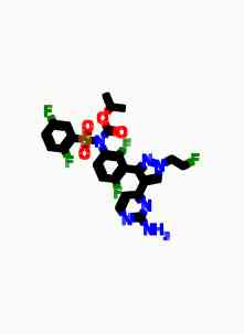 CC(C)OC(=O)N(c1ccc(F)c(-c2nn(CCF)cc2-c2ccnc(N)n2)c1F)S(=O)(=O)c1cc(F)ccc1F